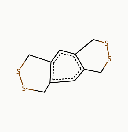 c1c2c(cc3c1CSSC3)CSSC2